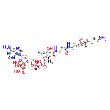 CC(C)(COP(=O)(O)OP(=O)(O)OC[C@H]1O[C@@H](n2cnc3c(N)ncnc32)[C@H](O)[C@@H]1OP(=O)(O)O)[C@@H](O)C(=O)NCCC(=O)NCCSC(=O)C(=O)CCCCN